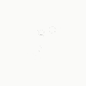 CC(C)(C)OC(=O)N1CC(Cn2nncc2-c2ccc(Br)cc2)C1